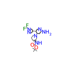 CC(C)(C)OC(=O)N[C@H]1CCCN(c2cc(N)ncc2-c2cnn(C(F)F)c2)C1